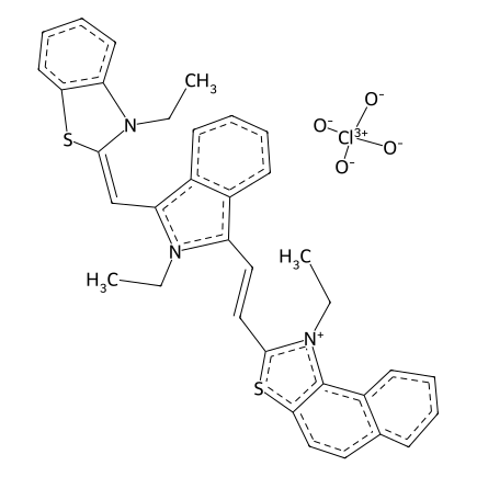 CCN1C(=Cc2c3ccccc3c(C=Cc3sc4ccc5ccccc5c4[n+]3CC)n2CC)Sc2ccccc21.[O-][Cl+3]([O-])([O-])[O-]